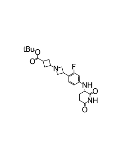 CC(C)(C)OC(=O)C1CC(N2CC(c3ccc(N[C@H]4CCC(=O)NC4=O)cc3F)C2)C1